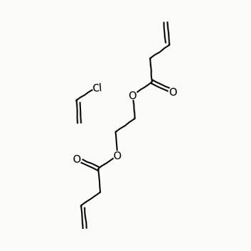 C=CCC(=O)OCCOC(=O)CC=C.C=CCl